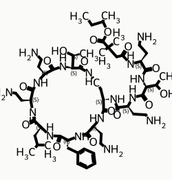 CCC(C)OC(=O)C(C)(C)CC(=O)N[C@@H](CCN)C(=O)N[C@H](C(=O)N[C@@H](CCN)C(=O)N[C@H]1CCNC(=O)[C@H]([C@H](C)O)NC(=O)[C@H](CCN)NC(=O)[C@H](CCN)NC(=O)[C@H](CC(C)C)NC(=O)[C@@H](Cc2ccccc2)NC(=O)[C@H](CCN)NC1=O)C(C)O